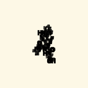 CC[C@H](Nc1cc(C(F)F)c(-c2sc(C(=O)NCC(C)(C)O)nc2C(=O)N2C3CCC2CC3)cn1)C(F)(F)F